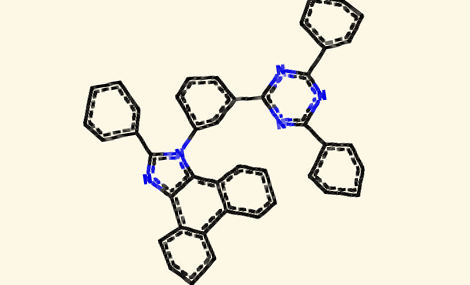 c1ccc(-c2nc(-c3ccccc3)nc(-c3cccc(-n4c(-c5ccccc5)nc5c6ccccc6c6ccccc6c54)c3)n2)cc1